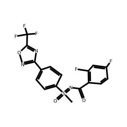 CS(=O)(=NC(=O)c1ccc(F)cc1F)c1ccc(-c2noc(C(F)(F)F)n2)cc1